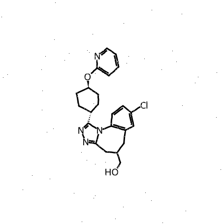 OCC1Cc2cc(Cl)ccc2-n2c(nnc2[C@H]2CC[C@H](Oc3ccccn3)CC2)C1